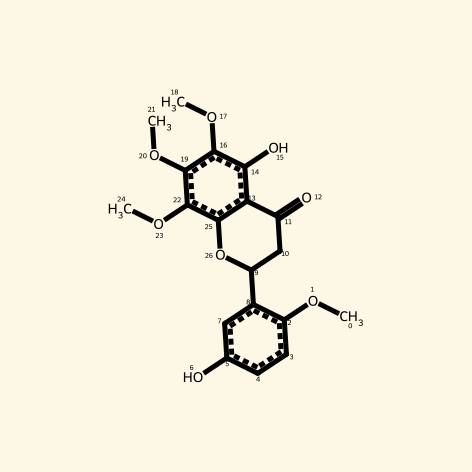 COc1ccc(O)cc1C1CC(=O)c2c(O)c(OC)c(OC)c(OC)c2O1